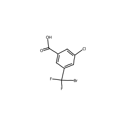 O=C(O)c1cc(Cl)cc(C(F)(F)Br)c1